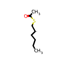 CCCC[CH]CSC(C)=O